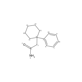 NC(=O)CC1(c2cc[c]cc2)CCCCC1